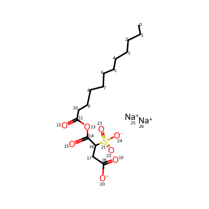 CCCCCCCCCCCC(=O)OC(=O)C(CC(=O)[O-])S(=O)(=O)[O-].[Na+].[Na+]